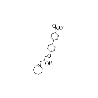 O=[N+]([O-])c1ccc(-c2ccc(OCC(O)CN3CCCCCC3)cc2)cc1